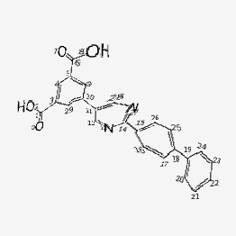 O=C(O)c1cc(C(=O)O)cc(-c2cnc(-c3ccc(-c4ccccc4)cc3)nc2)c1